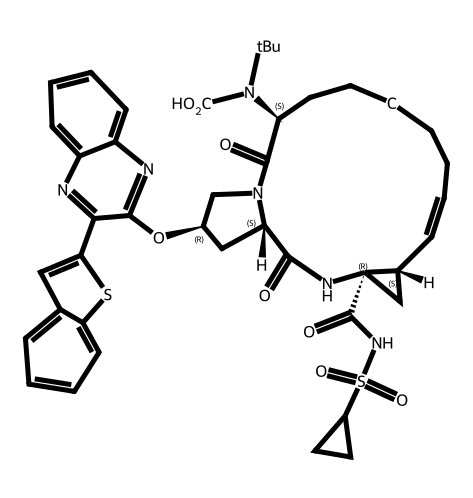 CC(C)(C)N(C(=O)O)[C@H]1CCCCCC=C[C@@H]2C[C@@]2(C(=O)NS(=O)(=O)C2CC2)NC(=O)[C@@H]2C[C@@H](Oc3nc4ccccc4nc3-c3cc4ccccc4s3)CN2C1=O